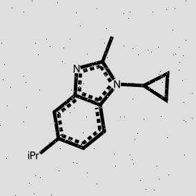 Cc1nc2cc(C(C)C)ccc2n1C1CC1